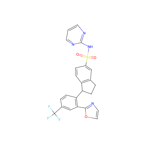 O=S(=O)(Nc1ncccn1)c1ccc2c(c1)CCC2c1ccc(C(F)(F)F)cc1-c1ncco1